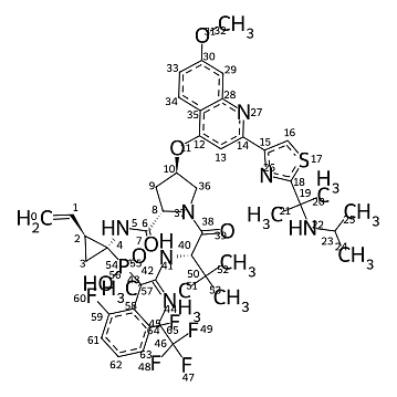 C=C[C@@H]1C[C@]1(NC(=O)[C@@H]1C[C@@H](Oc2cc(-c3csc(C(C)(C)NC(C)C)n3)nc3cc(OC)ccc23)CN1C(=O)[C@@H](N/C(C)=N/CC(F)(F)F)C(C)(C)C)P(=O)(O)Cc1c(F)cccc1F